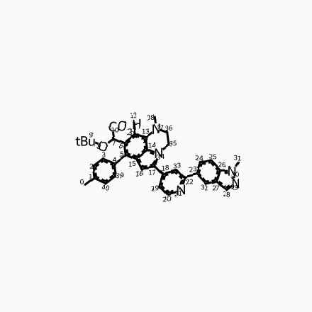 Cc1ccc(-c2c(C(OC(C)(C)C)C(=O)O)c(C)c3c4c2cc(-c2ccnc(-c5ccc6c(cnn6C)c5)c2)n4CCN3C)cc1